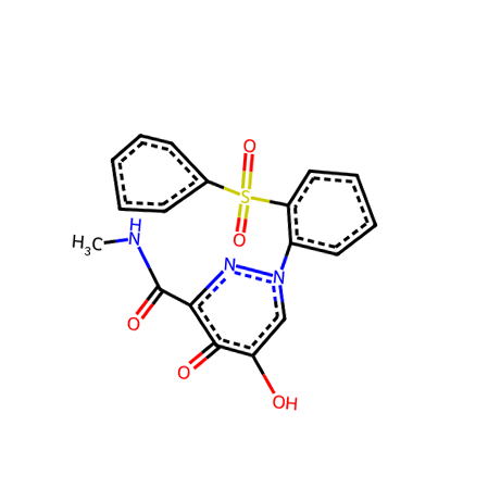 CNC(=O)c1nn(-c2ccccc2S(=O)(=O)c2ccccc2)cc(O)c1=O